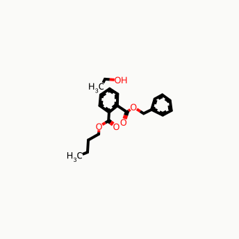 CCCCOC(=O)c1ccccc1C(=O)OCc1ccccc1.CCO